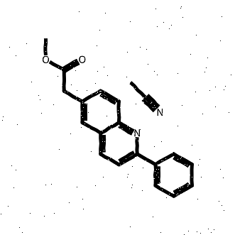 CC#N.COC(=O)Cc1ccc2nc(-c3ccccc3)ccc2c1